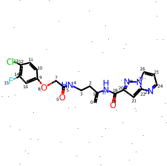 C=C(CCNC(=O)COc1ccc(Cl)c(F)c1)NC(=O)c1cc2ncccn2n1